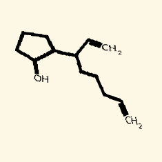 C=CCCCC(C=C)C1CCCC1O